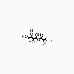 CC(O)C(=O)OC(O)[C@@H](O)[C@@H](O)CO